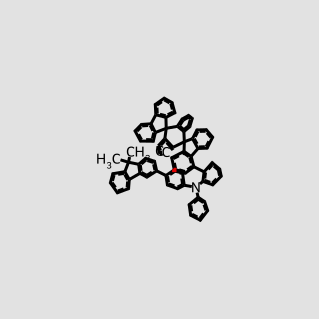 CC1(C)c2ccccc2-c2cc(-c3ccc(N(c4ccccc4)c4ccccc4-c4cccc5c4-c4ccccc4C54c5ccccc5C5(c6ccccc6-c6ccccc65)c5ccccc54)cc3)ccc21